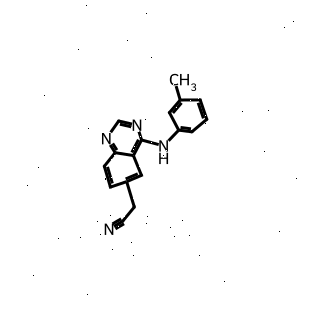 Cc1cccc(Nc2ncnc3ccc(CC#N)cc23)c1